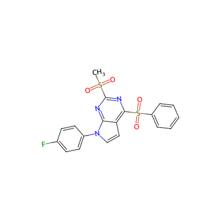 CS(=O)(=O)c1nc(S(=O)(=O)c2ccccc2)c2ccn(-c3ccc(F)cc3)c2n1